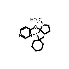 CC1(NC2(Oc3ccncn3)CCCN2C(=O)O)CCCCC1